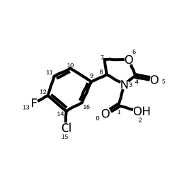 O=C(O)N1C(=O)OCC1c1ccc(F)c(Cl)c1